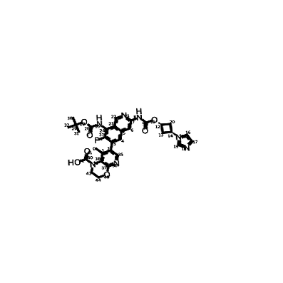 Cc1c(-c2cc3cc(NC(=O)O[C@H]4C[C@H](n5ccnc5)C4)ncc3c(NC(=O)OC(C)(C)C)c2F)cnc2c1N(C(=O)O)CCO2